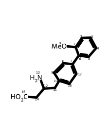 COc1ccccc1-c1ccc(CC(N)CC(=O)O)cc1